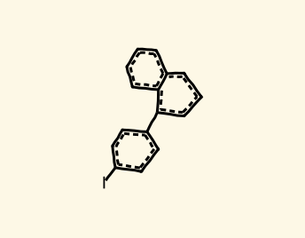 Ic1ccc(-c2cccc3ccccc23)cc1